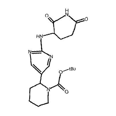 CC(C)(C)OC(=O)N1CCCCC1c1cnc(NC2CCC(=O)NC2=O)nc1